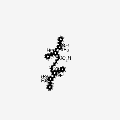 CC(CCCCCCC(C)(Cc1cc(Cc2cc(C(C)(C)C)c(O)c(C(C)(C)c3ccccc3)c2)c(O)c(C(C)(C)c2ccccc2)c1)C(=O)O)(Cc1cc(Cc2cc(C(C)(C)C)c(O)c(C(C)(C)c3ccccc3)c2)c(O)c(C(C)(C)c2ccccc2)c1)C(=O)O